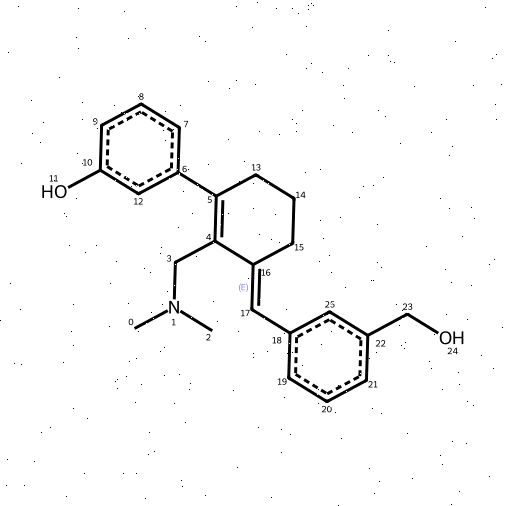 CN(C)CC1=C(c2cccc(O)c2)CCC/C1=C\c1cccc(CO)c1